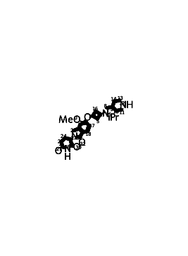 COc1c(O[C@H]2C[C@H](N(CC3CCNCC3)C(C)C)C2)ccc2c1CN(C1CCC(=O)NC1=O)C2=O